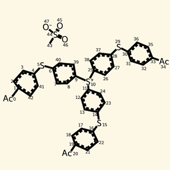 CC(=O)c1ccc(Sc2ccc([S+](c3ccc(Sc4ccc(C(C)=O)cc4)cc3)c3ccc(Sc4ccc(C(C)=O)cc4)cc3)cc2)cc1.CS(=O)(=O)[O-]